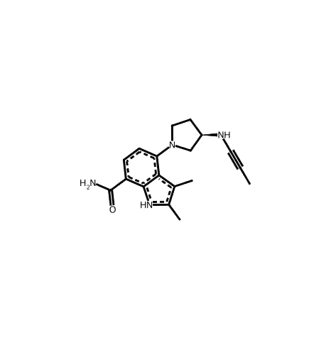 CC#CN[C@@H]1CCN(c2ccc(C(N)=O)c3[nH]c(C)c(C)c23)C1